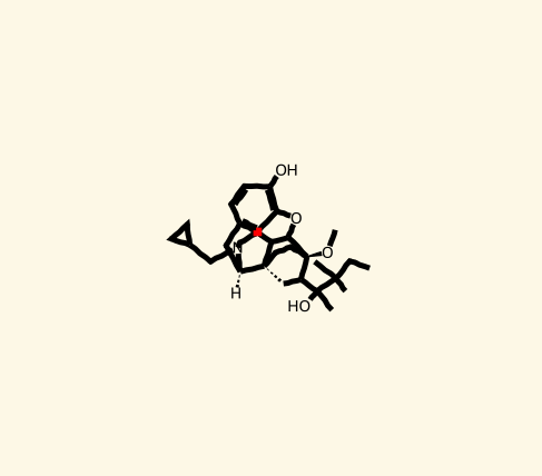 CCC(C)(C)C(C)(O)C1C[C@@]23CC[C@]1(OC)C1Oc4c(O)ccc5c4[C@@]12CCN(CC1CC1)[C@@H]3C5